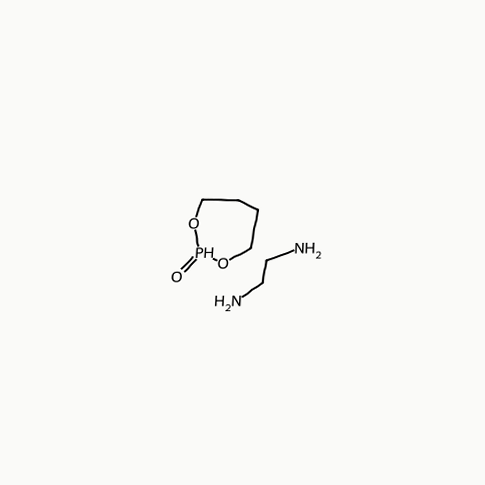 NCCN.O=[PH]1OCCCCO1